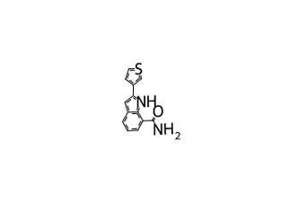 NC(=O)c1cccc2cc(-c3ccsc3)[nH]c12